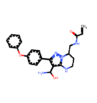 C=CC(=O)NCC1CCNc2c(C(N)O)c(-c3ccc(Oc4ccccc4)cc3)nn21